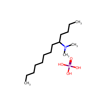 CCCCCCCCC(CCCC)N(C)C.O=P(O)(O)O